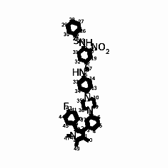 Cc1c(-c2cccc(N3CCN(c4ccc(NSC5C=C([N+](=O)[O-])C(NSc6ccccc6)CC5)cc4)CC3)c2)c(-c2ccc(F)cc2)n(C)c1C